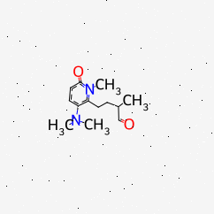 CC(C=O)CCc1c(N(C)C)ccc(=O)n1C